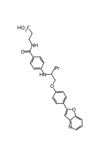 CC(C)C(COc1ccc(-c2cc3ncccc3o2)cc1)Nc1ccc(C(=O)NCCC(=O)O)cc1